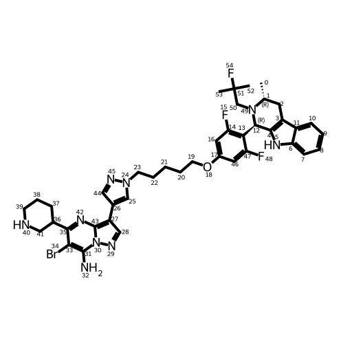 C[C@@H]1Cc2c([nH]c3ccccc23)[C@@H](c2c(F)cc(OCCCCCn3cc(-c4cnn5c(N)c(Br)c(C6CCCNC6)nc45)cn3)cc2F)N1CC(C)(C)F